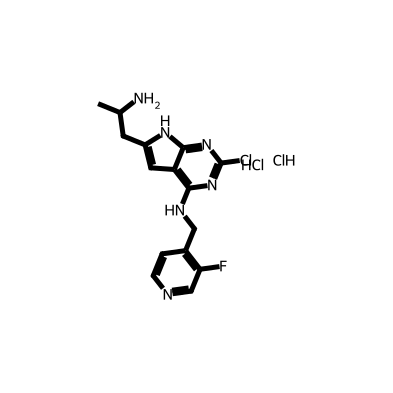 CC(N)Cc1cc2c(NCc3ccncc3F)nc(Cl)nc2[nH]1.Cl.Cl